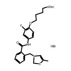 Br.CCCCCCCCCCCCCCOc1ccc(NC(=O)c2ccccc2CN2C=C(C)SC2)cc1F